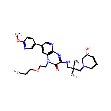 CCCOCCn1c(=O)c(NCC(C)(C)CN2CCC[C@@H](O)C2)nc2ncc(-c3ccc(OC)nc3)cc21